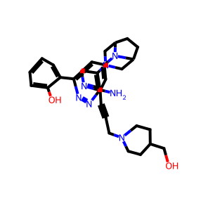 Nc1nnc(-c2ccccc2O)cc1N1CC2CCC(C1)N2c1ccnc(C#CCN2CCC(CO)CC2)c1